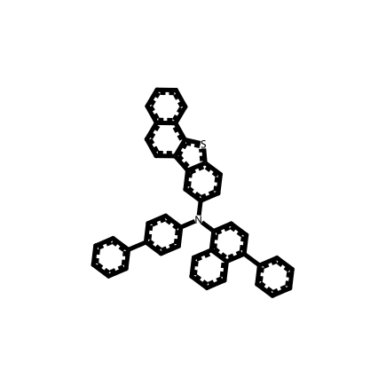 c1ccc(-c2ccc(N(c3ccc4sc5c6ccccc6ccc5c4c3)c3ccc(-c4ccccc4)c4ccccc34)cc2)cc1